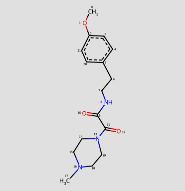 COc1ccc(CCNC(=O)C(=O)N2CCN(C)CC2)cc1